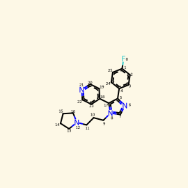 Fc1ccc(-c2ncn(CCCN3CCCC3)c2-c2ccncc2)cc1